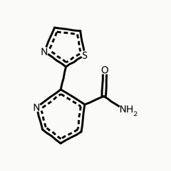 NC(=O)c1cccnc1-c1nccs1